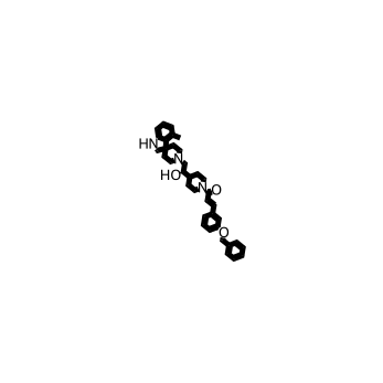 Cc1cccc2c1C1(CCN(C[C@@H](O)C3CCN(C(=O)/C=C/c4cccc(OCc5ccccc5)c4)CC3)CC1)CN2